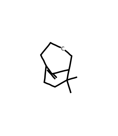 C=C1C2CCCCC1C(C)(C)CC2